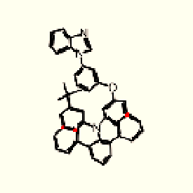 CC(C)(C)c1ccnc(N(c2cccc(Oc3cccc(-n4cnc5ccccc54)c3)c2)c2c(-c3ccccc3)cccc2-c2ccccc2)c1